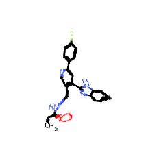 C=CC(=O)NCc1cnc(-c2ccc(F)cc2)cc1-c1nc2ccccc2[nH]1